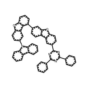 c1ccc(-c2nc(-c3ccccc3)nc(-c3ccc4oc5cc(-c6cccc7oc8ccc(-n9c%10ccccc%10c%10ccccc%109)cc8c67)ccc5c4c3)n2)cc1